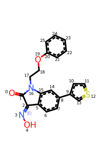 O=C1/C(=N/O)c2ccc(-c3ccsc3)cc2N1CCOc1ccccc1